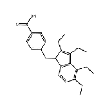 CCC1=C(CC)C(Cc2ccc(C(=O)O)cc2)c2ccc(CC)c(CC)c21